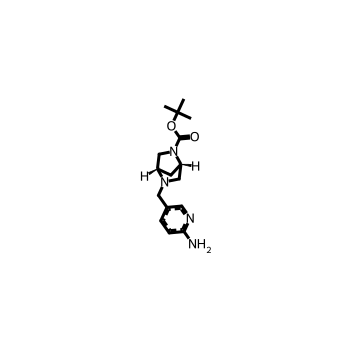 CC(C)(C)OC(=O)N1C[C@@H]2C[C@H]1CN2Cc1ccc(N)nc1